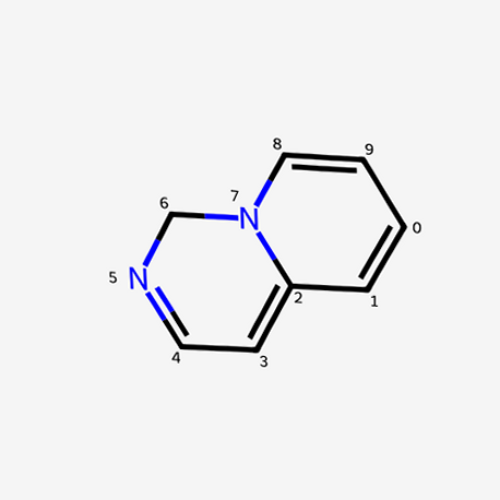 C1=CC2=CC=NCN2C=C1